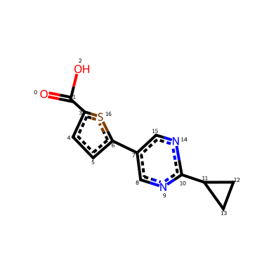 O=C(O)c1ccc(-c2cnc(C3CC3)nc2)s1